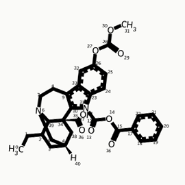 CCC1C[C@@H]2CN3CCc4c(n(C(=O)OC(=O)c5ccccc5)c5ccc(OC(=O)OC)cc45)[C@](C(=O)O)(C2)C13